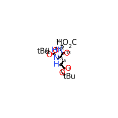 CC(C)(C)OC(=O)CC[C@H](NC(=O)OC(C)(C)C)C(=O)NCC(=O)O